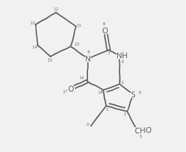 Cc1c(C=O)sc2[nH]c(=O)n(C3CCCCC3)c(=O)c12